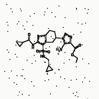 CCOC(=O)c1ncn(C2CCc3sc(NC(=O)C4CC4)c(S(=O)(=O)NCC4CC4)c3C2)c1N